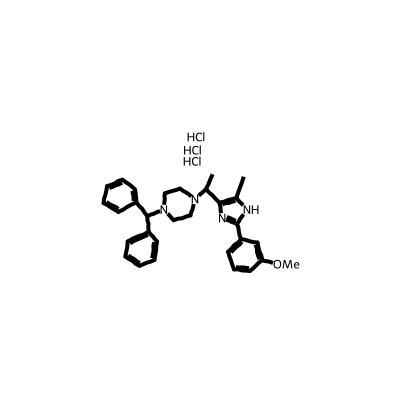 COc1cccc(-c2nc(C(C)N3CCN(C(c4ccccc4)c4ccccc4)CC3)c(C)[nH]2)c1.Cl.Cl.Cl